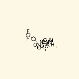 Cc1nc(N(C)C(=O)Cc2ccc(-c3cc(F)ccc3F)cc2)sc1S(C)(=O)=NC#N